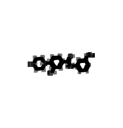 CC(C)(C)c1cccc(NC(=O)c2ccc(N3CCNCC3)c(Cl)c2)c1